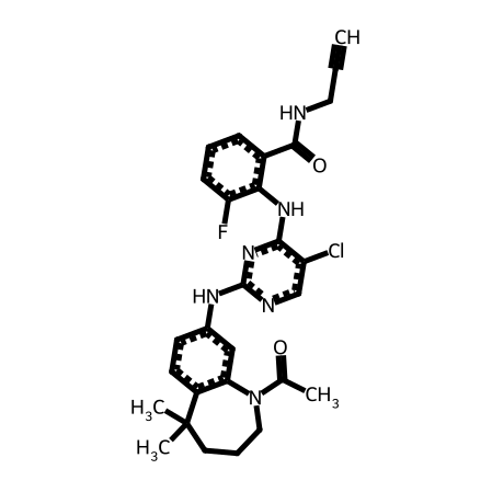 C#CCNC(=O)c1cccc(F)c1Nc1nc(Nc2ccc3c(c2)N(C(C)=O)CCCC3(C)C)ncc1Cl